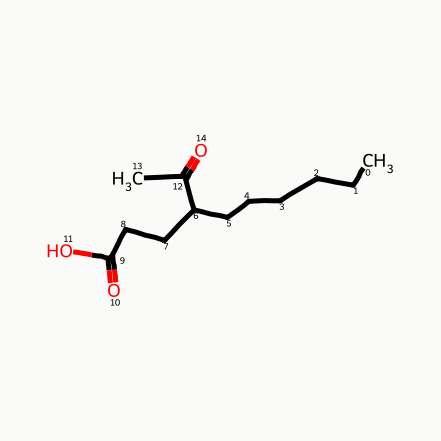 CCCCCCC(CCC(=O)O)C(C)=O